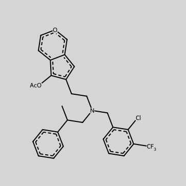 CC(=O)Oc1c(CCN(Cc2cccc(C(F)(F)F)c2Cl)CC(C)c2ccccc2)cc2coccc1-2